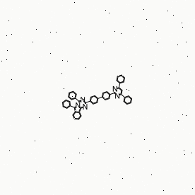 c1ccc(-c2cc(-c3ccccc3)nc(-c3ccc(-c4ccc(-c5nc(-c6ccccc6)n6c(-c7ccccc7)c7ccccc7c6n5)cc4)cc3)n2)cc1